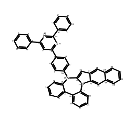 c1ccc(-c2cc(-c3ccc(N4c5ccccc5-c5ccccc5-n5c4cc4cc6ccccc6cc45)cc3)nc(-c3ccccc3)n2)cc1